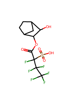 O=C(OC1C2CCC(C2)C1O)C(F)(C(F)(F)C(F)(F)F)S(=O)(=O)O